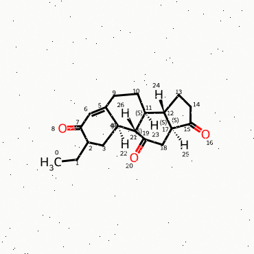 CCC1C[C@H]2C(=CC1=O)CC[C@H]1[C@@H]3CCC(=O)[C@H]3CC(=O)[C@@H]12